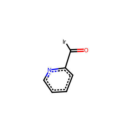 O=[C]([Ir])c1ccccn1